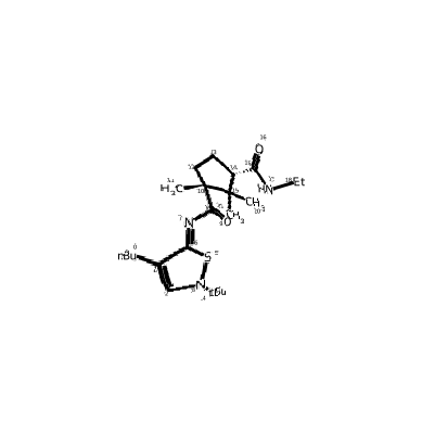 CCCCc1cn(C(C)(C)C)s/c1=N\C(=O)[C@]1(C)CC[C@H](C(=O)NCC)C1(C)C